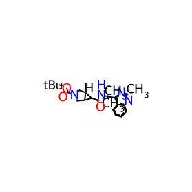 Cc1nc(C(C)(C)NC(=O)C2C3CN(C(=O)OC(C)(C)C)C[C@H]32)c2ccccc2n1